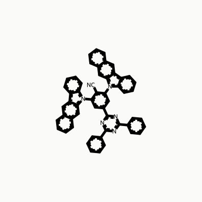 N#Cc1c(-n2c3ccccc3c3cc4ccccc4cc32)cc(-c2nc(-c3ccccc3)nc(-c3ccccc3)n2)cc1-n1c2ccccc2c2cc3ccccc3cc21